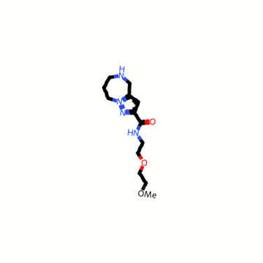 COCCOCCNC(=O)c1cc2n(n1)CCCNC2